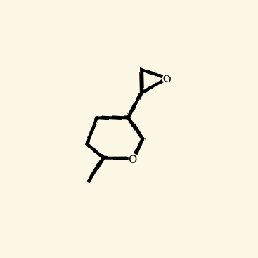 CC1CCC(C2CO2)CO1